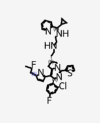 CC(F)/C=C1/C=CC(C2=C3C[C@H](CCNCCN[C@@H](c4ccccn4)C4CC4)CN3C(c3cccs3)=N[C@H]2c2ccc(F)cc2Cl)=N1